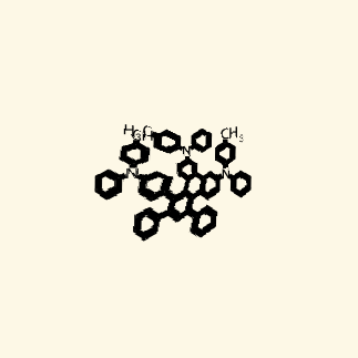 Cc1ccc(N(c2ccccc2)c2ccc(-c3c(-c4ccccc4)cc(-c4ccccc4)c4c5ccc(N(c6ccccc6)c6ccc(C)cc6)cc5c5cc(N(c6ccccc6)c6ccc(C)cc6)ccc5c34)cc2)cc1